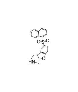 O=S(=O)(c1ccc2c(c1)C1CCNCC1O2)c1cccc2ccccc12